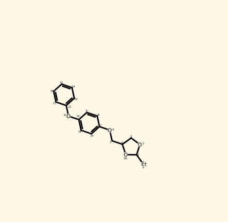 CCC1OCC(COc2ccc(Oc3ccccc3)cc2)O1